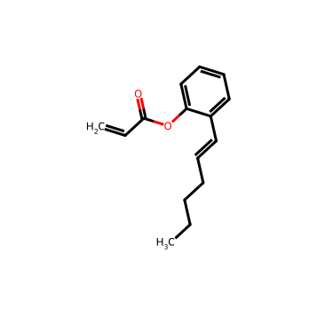 C=CC(=O)Oc1ccccc1C=CCCCC